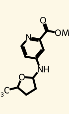 COC(=O)c1cc(NC2CCC(C)O2)ccn1